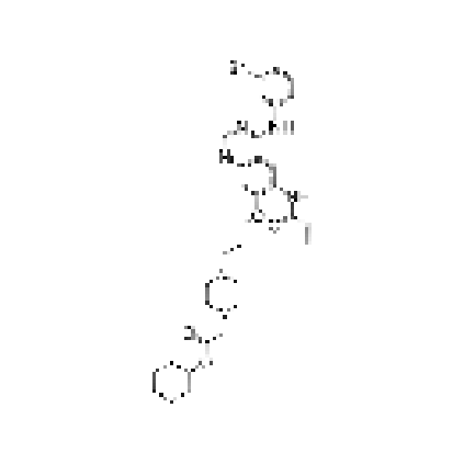 C=CC(=O)Nc1cc2c(Nc3cccc(Br)c3)ncnc2cc1OCCCN1CCN(CC(=O)OC2CCCCC2)CC1